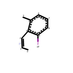 C/C=C\c1c(C)cccc1I